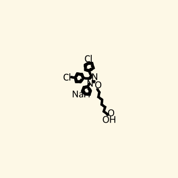 O=C(O)CCCCCCCOc1nc(-c2ccc(Cl)cc2)c(-c2ccc(Cl)cc2)n1-c1ccccc1.[NaH]